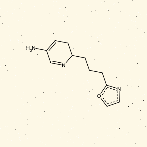 NC1=CCC(CCCc2ncco2)N=C1